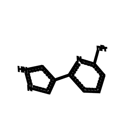 CCCc1cccc(-c2cn[nH]c2)n1